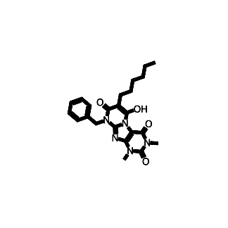 CCCCCCc1c(O)n2c3c(=O)n(C)c(=O)n(C)c3nc2n(Cc2ccccc2)c1=O